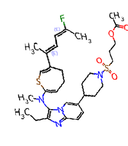 CCc1nc2ccc(C3CCN(S(=O)(=O)CCCOC(C)=O)CC3)cn2c1N(C)C1=CCCC(/C(C)=C/C=C(\C)F)=CS1